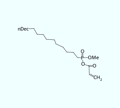 C=CC(=O)OP(=O)(CCCCCCCCCCCCCCCCCCCC)OC